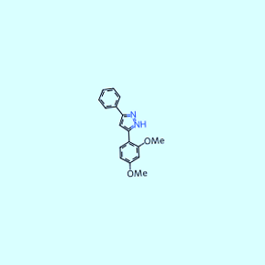 COc1ccc(-c2cc(-c3ccccc3)n[nH]2)c(OC)c1